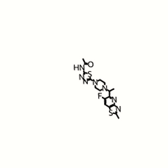 CC(=O)Nc1nnc(N2CCN(C(C)c3nc4nc(C)sc4cc3F)CC2)s1